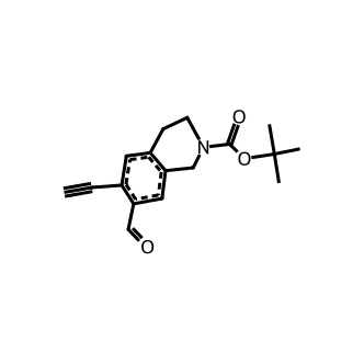 C#Cc1cc2c(cc1C=O)CN(C(=O)OC(C)(C)C)CC2